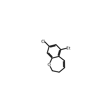 CCc1cc(Cl)cc2c1C=CCCO2